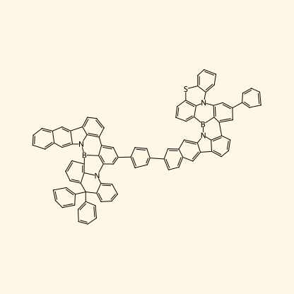 c1ccc(-c2cc3c4c(c2)N2c5ccccc5Sc5cccc(c52)B4n2c4cc5cc(-c6ccc(-c7cc8c9c(c7)N7c%10ccccc%10C(c%10ccccc%10)(c%10ccccc%10)c%10cccc(c%107)B9n7c9cc%10ccccc%10cc9c9cccc-8c97)cc6)ccc5cc4c4cccc-3c42)cc1